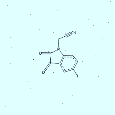 C#CCN1C(=O)C(=O)c2cc(I)ccc21